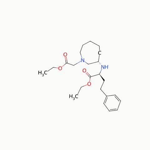 CCOC(=O)CN1CCCCC[C@H](N[C@@H](CCc2ccccc2)C(=O)OCC)C1